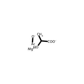 CC(=O)[O-].CC(O)C(=O)[O-].[Mg+2]